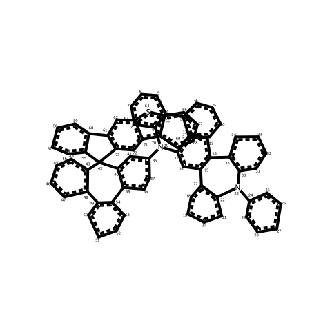 c1ccc(-c2ccccc2N(c2ccc3c(c2)-c2ccccc2N(c2ccccc2)c2ccccc2-3)c2ccc3c(c2)C2(c4ccccc4-c4ccccc4-3)c3ccccc3-c3cc4sc5ccccc5c4cc32)cc1